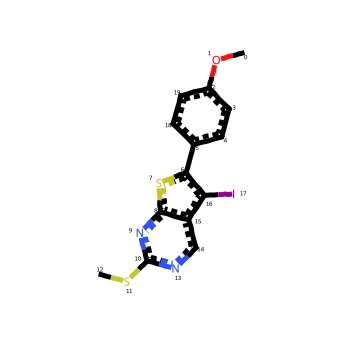 COc1ccc(-c2sc3nc(SC)ncc3c2I)cc1